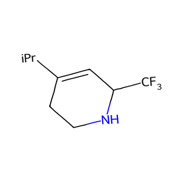 CC(C)C1=CC(C(F)(F)F)NCC1